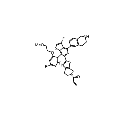 C=CC(=O)N1CCc2nc(-c3nc(-c4ccc5c(c4)CCNC5)c4c(F)csc4c3-c3c(F)cc(F)cc3OCCOC)sc2C1